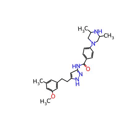 COc1cc(C)cc(CCc2cc(NC(=O)c3ccc(N4CC(C)NC(C)C4)cc3)n[nH]2)c1